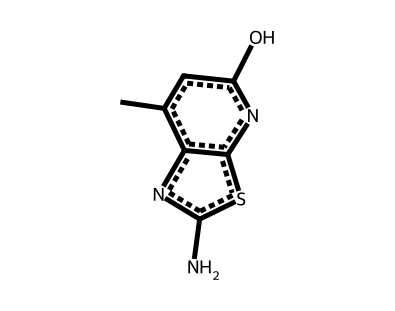 Cc1cc(O)nc2sc(N)nc12